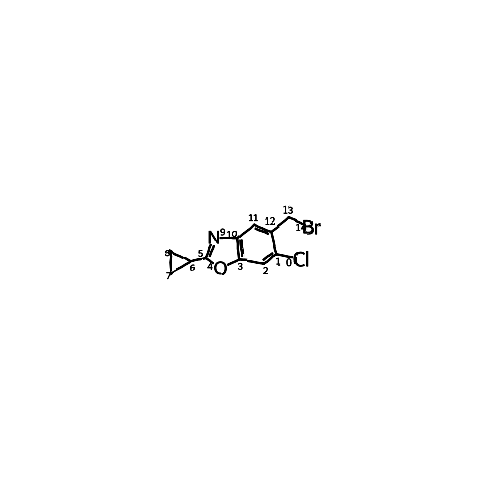 Clc1cc2oc(C3CC3)nc2cc1CBr